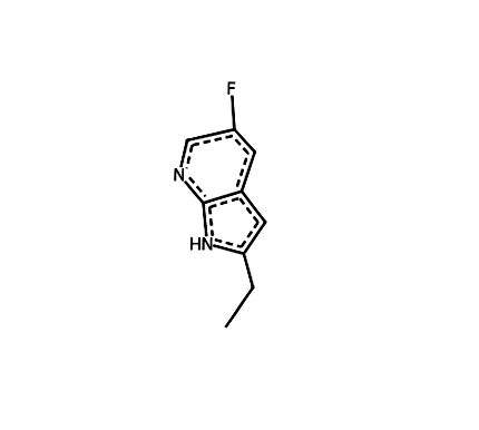 CCc1cc2cc(F)cnc2[nH]1